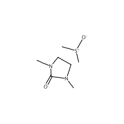 CN1CCN(C)C1=O.C[S+](C)[O-]